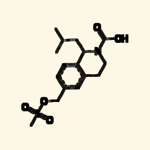 CC(C)CC1c2ccc(COS(C)(=O)=O)cc2CCN1C(=O)O